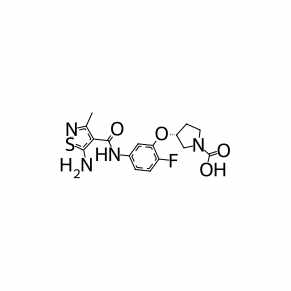 Cc1nsc(N)c1C(=O)Nc1ccc(F)c(O[C@@H]2CCN(C(=O)O)C2)c1